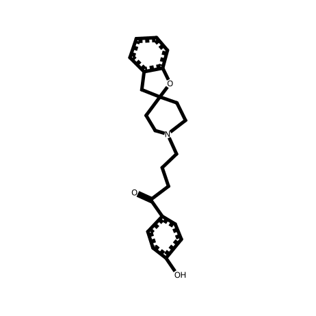 O=C(CCCN1CCC2(CC1)Cc1ccccc1O2)c1ccc(O)cc1